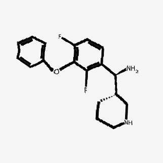 N[C@H](c1ccc(F)c(Oc2ccccc2)c1F)[C@H]1CCCNC1